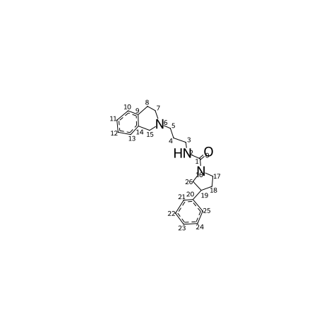 O=C(NCCCN1CCc2ccccc2C1)N1CCC(c2ccccc2)C1